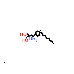 CCCCCCCC[C@]1(C)C=CC(CCC(N)(CO)CO)=CC1